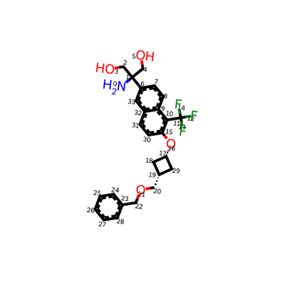 NC(CO)(CO)c1ccc2c(C(F)(F)F)c(O[C@H]3C[C@@H](COCc4ccccc4)C3)ccc2c1